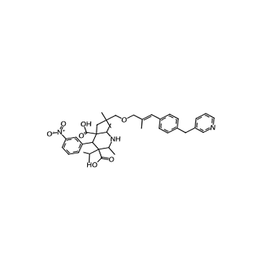 C/C(=C\c1ccc(Cc2cccnc2)cc1)COCC(C)(C)CC1(C(=O)O)C(C)NC(C)C(C(=O)O)(C(C)C)C1c1cccc([N+](=O)[O-])c1